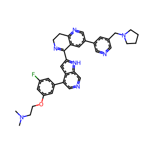 CN(C)CCOc1cc(F)cc(-c2cncc3[nH]c(C4=NCCc5ncc(-c6cncc(CN7CCCC7)c6)cc54)cc23)c1